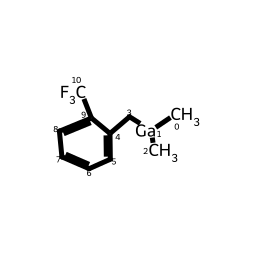 [CH3][Ga]([CH3])[CH2]c1ccccc1C(F)(F)F